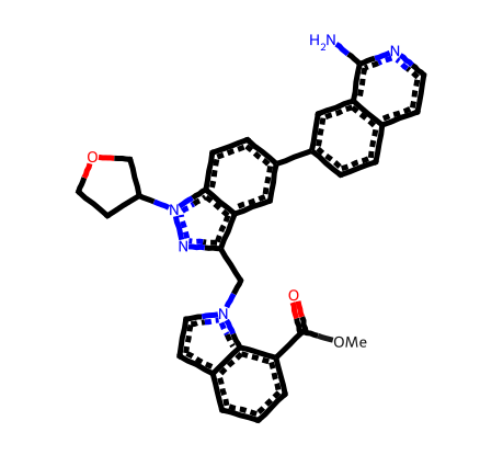 COC(=O)c1cccc2ccn(Cc3nn(C4CCOC4)c4ccc(-c5ccc6ccnc(N)c6c5)cc34)c12